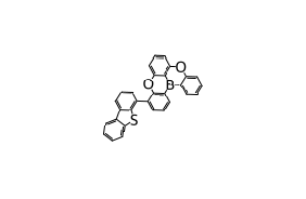 c1ccc2c(c1)Oc1cccc3c1B2c1cccc(-c2cccc4c2sc2ccccc24)c1O3